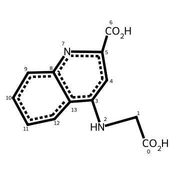 O=C(O)CNc1cc(C(=O)O)nc2ccccc12